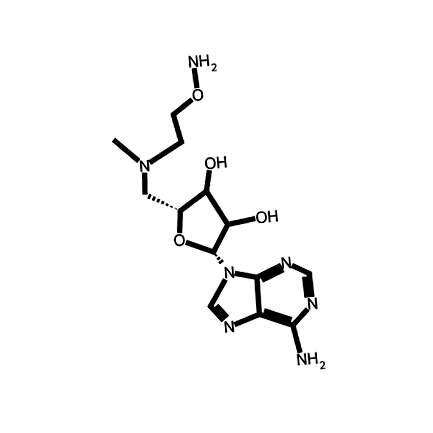 CN(CCON)C[C@H]1O[C@@H](n2cnc3c(N)ncnc32)C(O)C1O